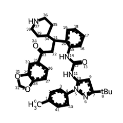 Cc1ccc(-n2nc(C(C)(C)C)cc2NC(=O)Nc2ccccc2C(CC(=O)c2ccc3c(c2)OCO3)C2CCNCC2)cc1